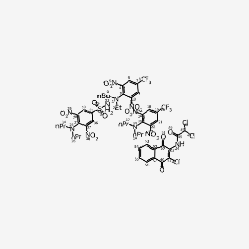 CCCCN(CC)c1c([N+](=O)[O-])cc(C(F)(F)F)cc1[N+](=O)[O-].CCCN(CCC)c1c([N+](=O)[O-])cc(C(F)(F)F)cc1[N+](=O)[O-].CCCN(CCC)c1c([N+](=O)[O-])cc(S(N)(=O)=O)cc1[N+](=O)[O-].O=C1C(Cl)=C(NC(=O)C(Cl)Cl)C(=O)c2ccccc21